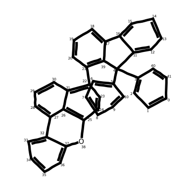 c1ccc(C2(c3ccccc3)c3ccccc3-c3cccc(-c4ccc5c6c(cccc46)-c4ccccc4O5)c32)cc1